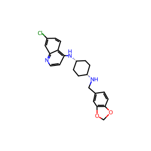 Clc1ccc2c(N[C@H]3CC[C@@H](NCc4ccc5c(c4)OCO5)CC3)ccnc2c1